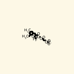 CCc1cc(C)cc2c1O[C@H](C(F)(F)F)C(C(=O)OCOC(=O)CCO[N+](=O)[O-])=C2